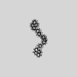 c1cc2ccc3ccc(-c4ccc(-c5ccc6sc7ccc(-c8ccc9cc(-c%10ccc%11ccc%12cccc%13ccc%10c%11c%12%13)ccc9c8)cc7c6c5)cc4)c4ccc(c1)c2c34